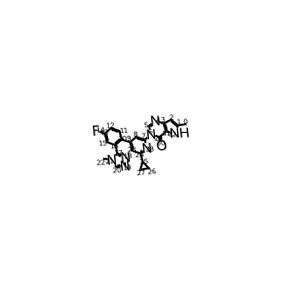 Cc1cc2ncn(-c3cc(-c4ccc(F)cc4-c4nncn4C)cc(C4CC4)n3)c(=O)c2[nH]1